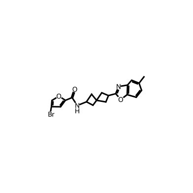 Cc1ccc2oc(C3CC4(CC(NC(=O)c5cc(Br)co5)C4)C3)nc2c1